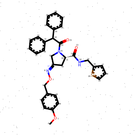 COc1ccc(CO/N=C2\C[C@@H](C(=O)NCc3cccs3)N(C(=O)C(c3ccccc3)c3ccccc3)C2)cc1